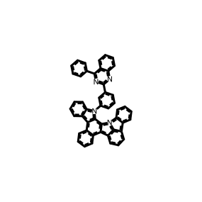 c1ccc(-c2nc(-c3cccc(-n4c5ccccc5c5c6ccccc6c6c7cccc8c9ccccc9n(c87)c6c54)c3)nc3ccccc23)cc1